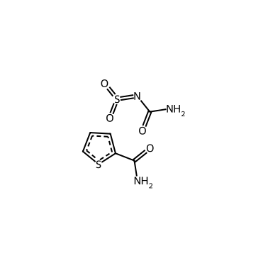 NC(=O)N=S(=O)=O.NC(=O)c1cccs1